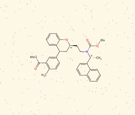 COC(=O)c1cc(C2C[C@H](CCN(C(=O)OC(C)(C)C)[C@H](C)c3cccc4ccccc34)Oc3ccccc32)ccc1C